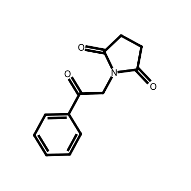 O=C(CN1C(=O)CCC1=O)c1ccccc1